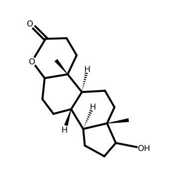 C[C@]12CCC(=O)OC1CC[C@@H]1[C@@H]2CC[C@]2(C)C(O)CC[C@@H]12